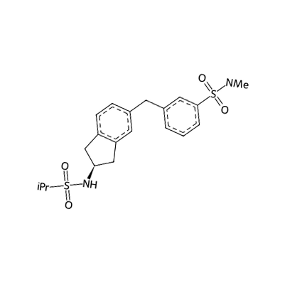 CNS(=O)(=O)c1cccc(Cc2ccc3c(c2)C[C@@H](NS(=O)(=O)C(C)C)C3)c1